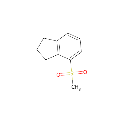 CS(=O)(=O)c1cccc2c1CCC2